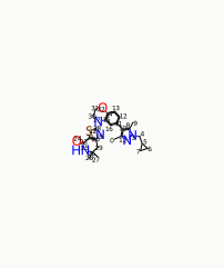 Cc1nn(CC2CC2)c(C)c1-c1ccc2c(c1)N(c1nc3c(s1)C(=O)NC(C)(C)C3)CCO2